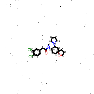 CN(C(=O)Cc1ccc(Cl)c(Cl)c1)[C@H]1CCC2(CCCO2)C[C@@H]1N1CCCC1